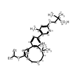 CCC(CC)Oc1nc2nn1COCC[Si](C)(C)c1nc(-c3cnc(OCC(C)(C)C(=O)O)cc3C)ccc1-2